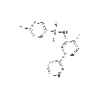 Cc1ccc(-c2cccnc2)cc1NS(=O)(=O)c1ccc(Cl)cc1